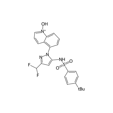 CC(C)(C)c1ccc(S(=O)(=O)Nc2cc(C(F)F)nn2-c2cccc3c2ccc[n+]3O)cc1